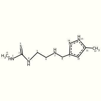 CNC(=S)NCCNCc1cc(C)[nH]n1